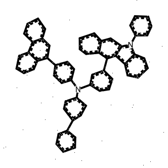 c1ccc(-c2ccc(N(c3ccc(-c4cc5ccccc5c5ccccc45)cc3)c3cccc(-c4c5ccccc5cc5c4c4ccccc4n5-c4ccccc4)c3)cc2)cc1